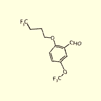 O=Cc1cc(OC(F)(F)F)ccc1OCCCC(F)(F)F